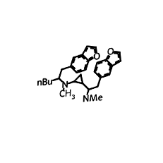 CCCCC(Cc1ccc2occc2c1)N(C)C1CC1C(Cc1ccc2occc2c1)NC